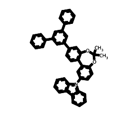 CC1(C)Oc2cc(-c3cc(-c4ccccc4)cc(-c4ccccc4)c3)ccc2-c2cc(-n3c4ccccc4c4ccccc43)ccc2O1